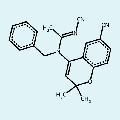 CC(=NC#N)N(Cc1ccccc1)C1=CC(C)(C)Oc2ccc(C#N)cc21